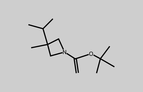 C=C(OC(C)(C)C)N1CC(C)(C(C)C)C1